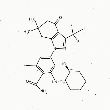 CC1(C)CC(=O)c2c(C(F)(F)F)nn(-c3cc(F)c(C(N)=O)c(N[C@H]4CCCC[C@@H]4O)c3)c2C1